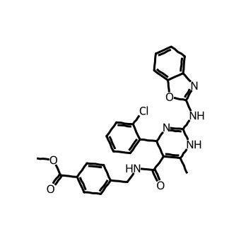 COC(=O)c1ccc(CNC(=O)C2=C(C)NC(Nc3nc4ccccc4o3)=NC2c2ccccc2Cl)cc1